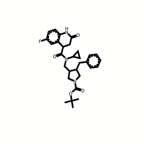 CC(C)(C)OC(=O)N1CC(Cc2ccccc2)C(CN(C(=O)C2CC(=O)Nc3ccc(F)cc32)C2CC2)C1